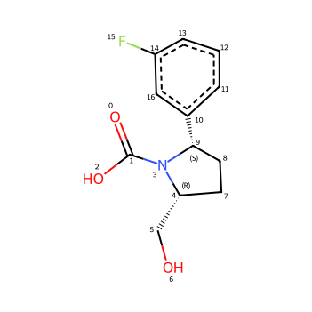 O=C(O)N1[C@@H](CO)CC[C@H]1c1cccc(F)c1